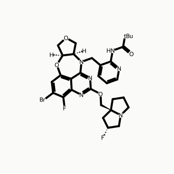 CC(C)(C)C(=O)Nc1ncccc1CN1c2nc(OC[C@@]34CCCN3C[C@H](F)C4)nc3c(F)c(Br)cc(c23)O[C@H]2COC[C@H]21